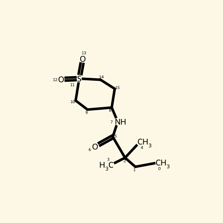 CCC(C)(C)C(=O)NC1CCS(=O)(=O)CC1